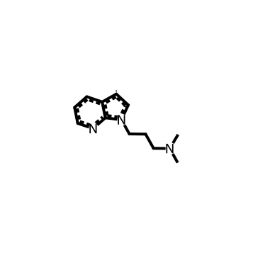 CN(C)CCCn1c[c]c2cccnc21